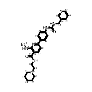 CCNc1nc(-c2ccc(NC(=O)NCc3cccnc3)cc2)ccc1C(=O)NCCN1CCCCC1